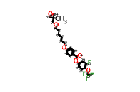 CC1(COCCCCCCOc2ccc(C(=O)Oc3ccc(OC(F)(F)F)c(F)c3)cc2)COC1